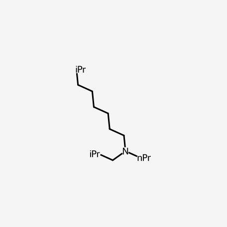 CCCN(CCCCCCC(C)C)CC(C)C